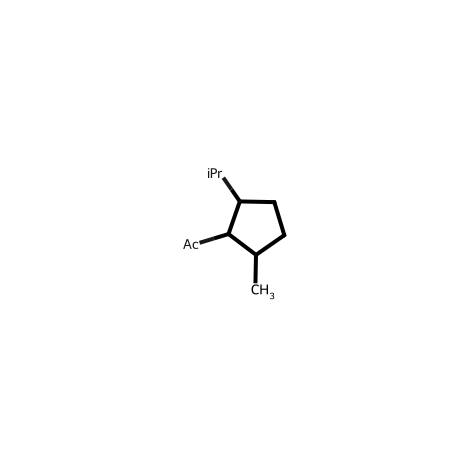 CC(=O)C1C(C)CCC1C(C)C